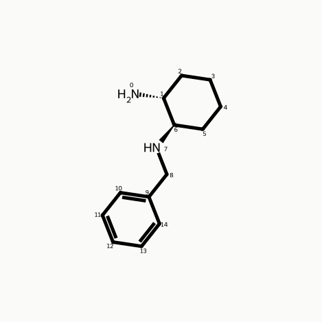 N[C@@H]1CCCC[C@H]1NCc1ccccc1